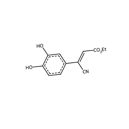 CCOC(=O)C=C(C#N)c1ccc(O)c(O)c1